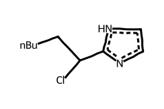 CCCCCC(Cl)c1ncc[nH]1